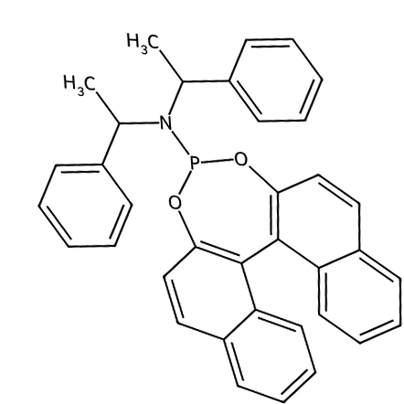 CC(c1ccccc1)N(C(C)c1ccccc1)p1oc2ccc3ccccc3c2c2c(ccc3ccccc32)o1